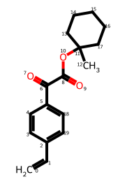 C=Cc1ccc(C(=O)C(=O)OC2(C)CCCCC2)cc1